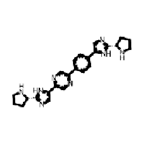 c1cc(-c2cnc([C@@H]3CCCN3)[nH]2)ccc1-c1cnc(-c2cnc([C@@H]3CCCN3)[nH]2)cn1